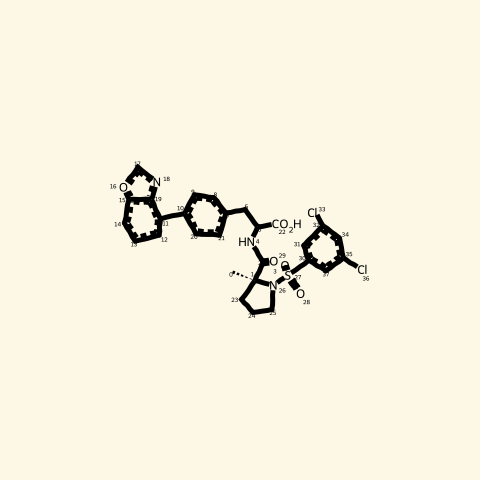 C[C@@]1(C(=O)NC(Cc2ccc(-c3cccc4ocnc34)cc2)C(=O)O)CCCN1S(=O)(=O)c1cc(Cl)cc(Cl)c1